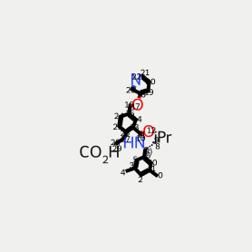 Cc1cc(C)cc([C@@H](CC(C)C)NC(=O)c2cc(COc3cccnc3)ccc2CCC(=O)O)c1